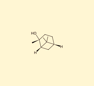 CC1(C)[C@@H]2CC[C@@](C)(O)[C@H]1C2